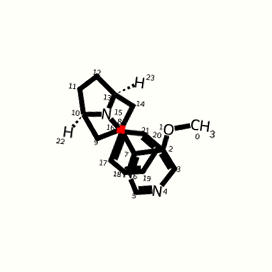 COc1cncnc1C1C[C@H]2CC[C@@H](C1)N2c1ccccc1